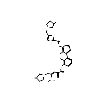 C=C(/C=C(/CN1CCC(O)C1)N(C)C)C(=O)Nc1cccc(-c2cccc(NC(=O)c3ncc(CN4CCC(O)C4)s3)c2C)c1C